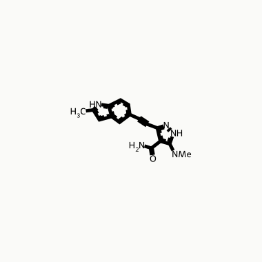 CNc1[nH]nc(C#Cc2ccc3[nH]c(C)cc3c2)c1C(N)=O